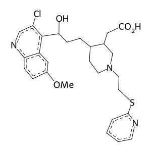 COc1ccc2ncc(Cl)c(C(O)CCC3CCN(CCSc4ccccn4)CC3CC(=O)O)c2c1